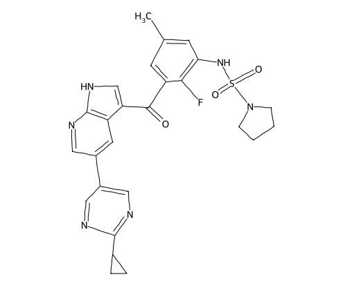 Cc1cc(NS(=O)(=O)N2CCCC2)c(F)c(C(=O)c2c[nH]c3ncc(-c4cnc(C5CC5)nc4)cc23)c1